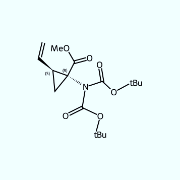 C=C[C@@H]1C[C@@]1(C(=O)OC)N(C(=O)OC(C)(C)C)C(=O)OC(C)(C)C